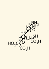 N[C@@H](CS)C(=O)O.Nc1nc2ncc(CNc3ccc(C(=O)N[C@@H](CCC(=O)O)C(=O)O)cc3)nc2c(=O)[nH]1